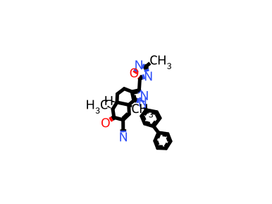 Cc1noc(-c2nn(-c3ccc(-c4ccccc4)cc3)c3c2CC[C@@H]2[C@@H](C)C(=O)C(C#N)=C[C@@]32C)n1